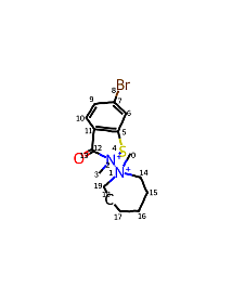 C[N+]1([N+]2(C)Sc3cc(Br)ccc3C2=O)CCCCCC1